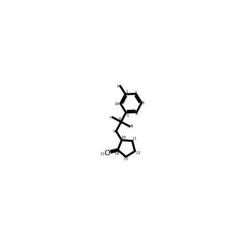 Cc1cccc(C(C)(C)CC2CCCC2=O)c1